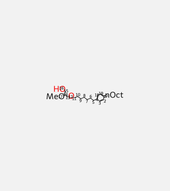 CCCCCCCCc1ccc(CCCCCCCOCC(CO)OC)cc1